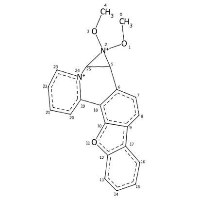 CO[N+]1(OC)C2c3ccc4c(oc5ccccc54)c3-c3cccc[n+]3C21